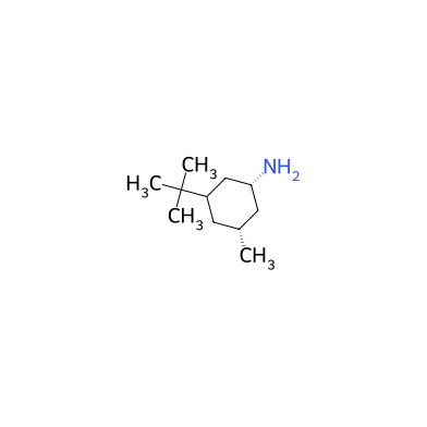 C[C@@H]1CC(C(C)(C)C)C[C@H](N)C1